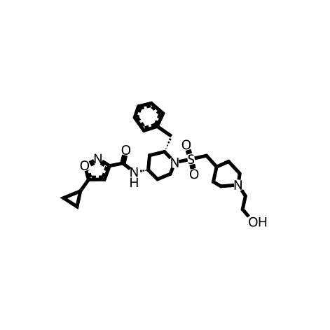 O=C(N[C@H]1CCN(S(=O)(=O)CC2CCN(CCO)CC2)[C@@H](Cc2ccccc2)C1)c1cc(C2CC2)on1